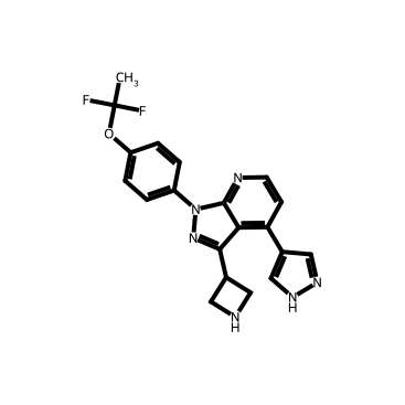 CC(F)(F)Oc1ccc(-n2nc(C3CNC3)c3c(-c4cn[nH]c4)ccnc32)cc1